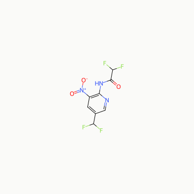 O=C(Nc1ncc(C(F)F)cc1[N+](=O)[O-])C(F)F